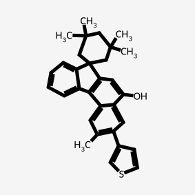 Cc1cc2c3c(cc(O)c2cc1-c1ccsc1)C1(CC(C)(C)CC(C)(C)C1)c1ccccc1-3